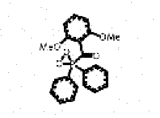 COc1cccc(OC)c1C(=O)P1(c2ccccc2)(c2ccccc2)OO1